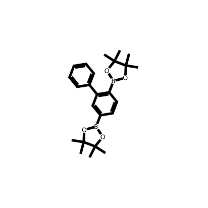 CC1(C)OB(c2ccc(B3OC(C)(C)C(C)(C)O3)c(-c3ccccc3)c2)OC1(C)C